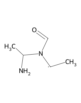 C[CH]N(C=O)C(C)N